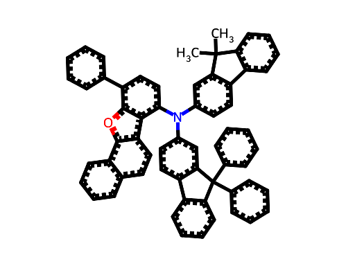 CC1(C)c2ccccc2-c2ccc(N(c3ccc4c(c3)C(c3ccccc3)(c3ccccc3)c3ccccc3-4)c3ccc(-c4ccccc4)c4oc5c6ccccc6ccc5c34)cc21